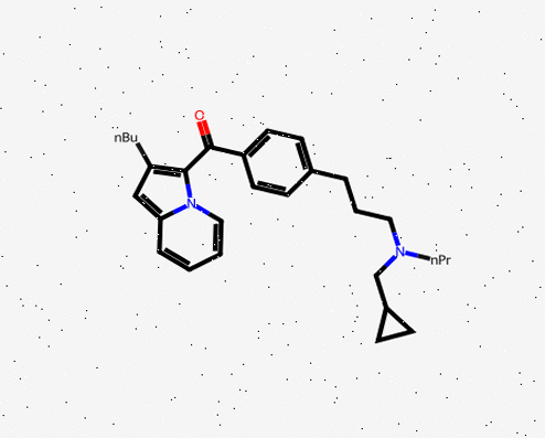 CCCCc1cc2ccccn2c1C(=O)c1ccc(CCCN(CCC)CC2CC2)cc1